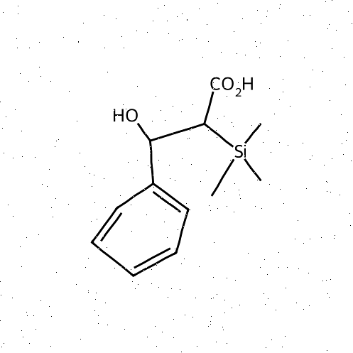 C[Si](C)(C)C(C(=O)O)C(O)c1ccccc1